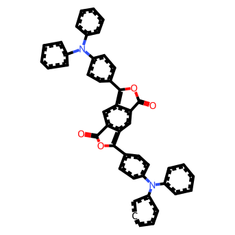 O=C1OC(c2ccc(N(c3ccccc3)c3ccccc3)cc2)=c2cc3c(cc21)=C(c1ccc(N(c2ccccc2)c2ccccc2)cc1)OC3=O